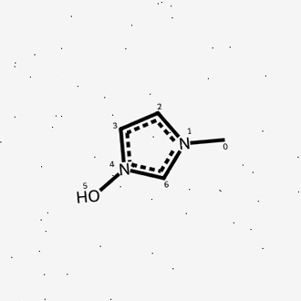 Cn1cc[n+](O)c1